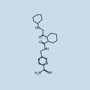 N=C(N)c1ccc(CNC(=O)C2CCCCN2C(=O)CNC2CCCCC2)cn1